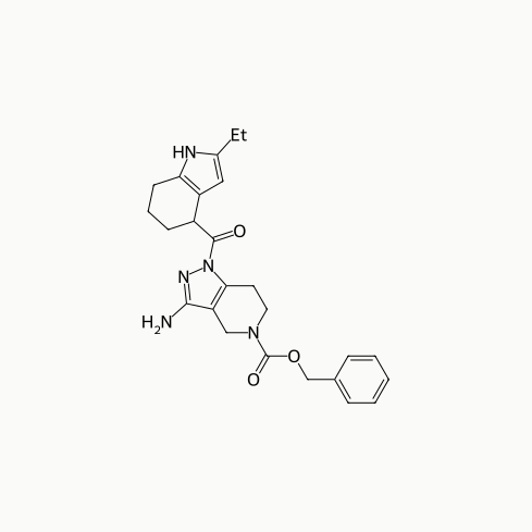 CCc1cc2c([nH]1)CCCC2C(=O)n1nc(N)c2c1CCN(C(=O)OCc1ccccc1)C2